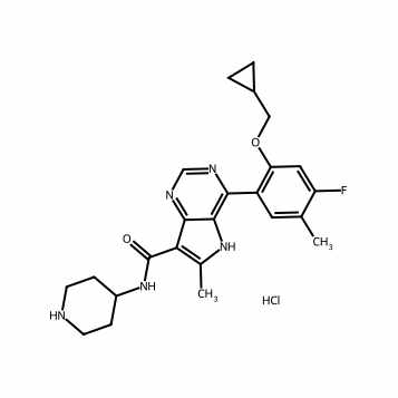 Cc1cc(-c2ncnc3c(C(=O)NC4CCNCC4)c(C)[nH]c23)c(OCC2CC2)cc1F.Cl